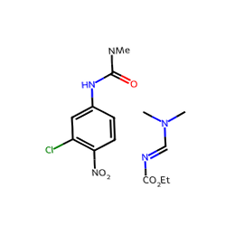 CCOC(=O)N=CN(C)C.CNC(=O)Nc1ccc([N+](=O)[O-])c(Cl)c1